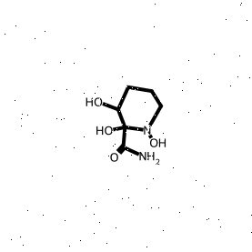 NC(=O)C1(O)C(O)CCCN1O